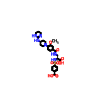 COc1cc(C(=O)NC[C@H](NS(=O)(=O)c2ccc(C(=O)O)cc2)C(=O)O)ccc1N1CCC(NC2=NCCCN2)CC1